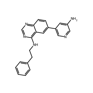 Nc1cncc(-c2ccc3ncnc(NCCc4ccccc4)c3c2)c1